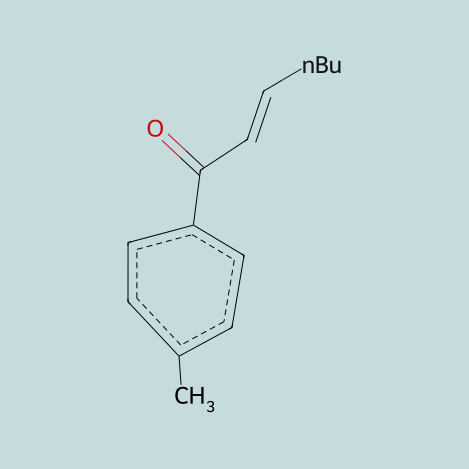 CCCC/C=C/C(=O)c1ccc(C)cc1